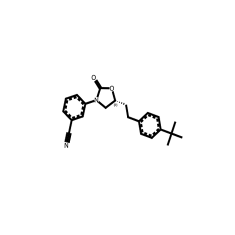 CC(C)(C)c1ccc(CC[C@@H]2CN(c3cccc(C#N)c3)C(=O)O2)cc1